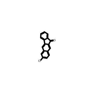 O=C1c2ccccc2-c2cc3cc(Cl)ccc3cc21